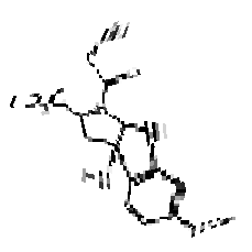 COc1ccc2c(c1)NC1N(C(=O)OC(C)(C)C)C(C(=O)O)CC21O